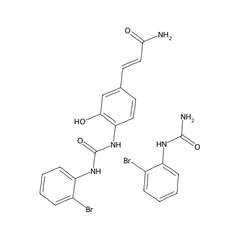 NC(=O)C=Cc1ccc(NC(=O)Nc2ccccc2Br)c(O)c1.NC(=O)Nc1ccccc1Br